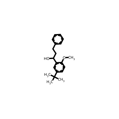 COc1ccc(C(C)(C)C)cc1C(O)CCc1ccccc1